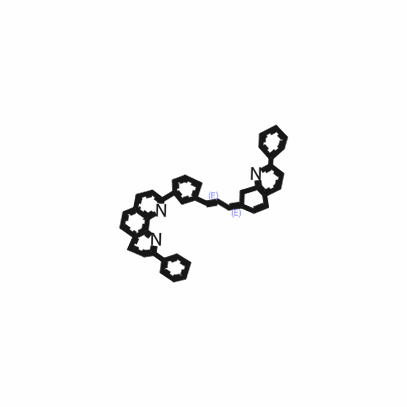 C1=Cc2ccc(-c3ccccc3)nc2C/C1=C\C=C\c1cccc(-c2ccc3ccc4ccc(-c5ccccc5)nc4c3n2)c1